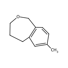 Cc1ccc2c(c1)CCCOC2